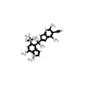 Cc1nc2c(c(C)c1C#N)C=C(C(C)(C)c1c(S(C)(=O)=O)cc(C)c3c1ccn3C)C2